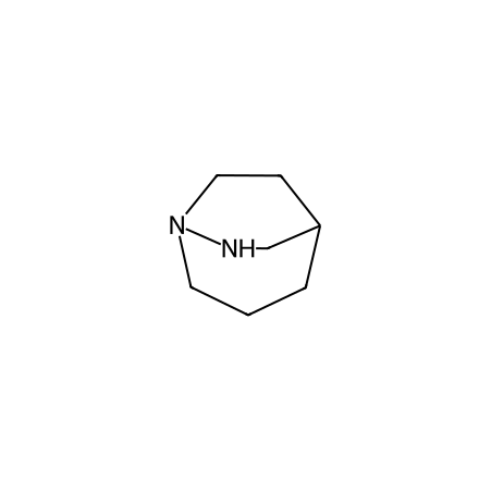 C1CC2CCN(C1)NC2